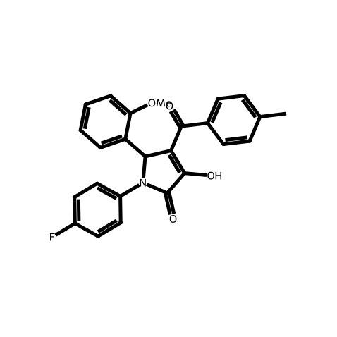 COc1ccccc1C1C(C(=O)c2ccc(C)cc2)=C(O)C(=O)N1c1ccc(F)cc1